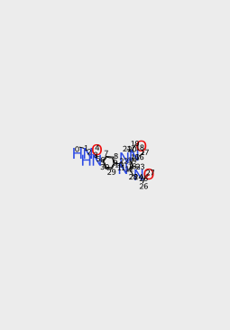 CCNC(=O)Nc1ccc(-c2nc3c(c(N4CCOCC4C)n2)CN(C(C)=O)C3)cc1